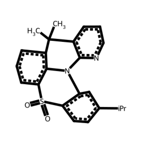 CC(C)c1ccc2c(c1)N1c3ncccc3C(C)(C)c3cccc(c31)S2(=O)=O